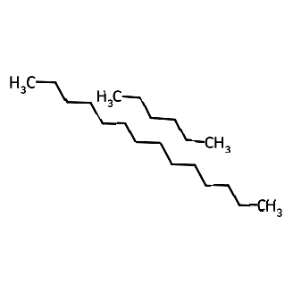 CCCCCC.CCCCCCCCCCCCCC